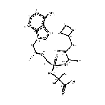 C[C@H](Cn1cnc2c(N)ncnc21)OC[P@@](=O)(N[C@H](C)C(=O)OC1CCC1)NC(C)(C)C(=O)O